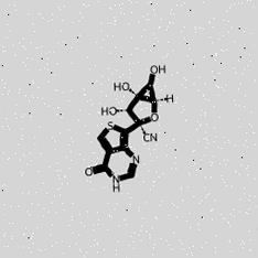 N#C[C@@]1(c2scc3c(=O)[nH]cnc23)O[C@@H]2C(O)[C@]2(O)[C@H]1O